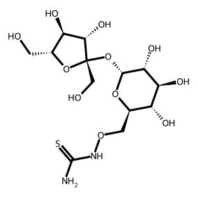 NC(=S)NOC[C@H]1O[C@H](O[C@]2(CO)O[C@H](CO)[C@@H](O)[C@@H]2O)[C@H](O)[C@@H](O)[C@@H]1O